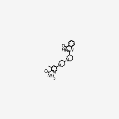 Cc1cc(N2CCC(N3CCCC(c4nc5ccccc5c(=O)[nH]4)C3)CC2)cnc1C(N)=O